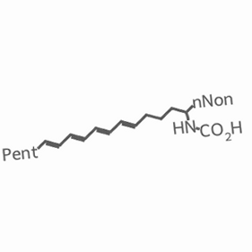 CCCCC/C=C/C=C/C=C/C=C/CCCC(CCCCCCCCC)NC(=O)O